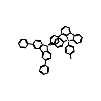 Cc1ccc([Si]2(c3ccc(C)cc3)c3ccccc3-c3cccc(-c4ccc(-n5c6ccc(-c7ccccc7)cc6c6cc(-c7ccccc7)ccc65)cc4)c32)cc1